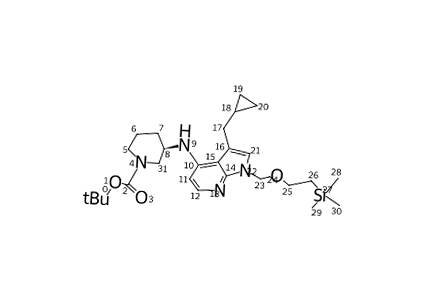 CC(C)(C)OC(=O)N1CCC[C@@H](Nc2ccnc3c2c(CC2CC2)cn3COCC[Si](C)(C)C)C1